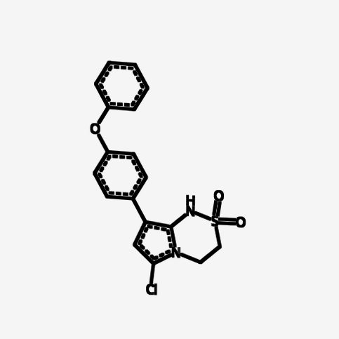 O=S1(=O)CCn2c(Cl)cc(-c3ccc(Oc4ccccc4)cc3)c2N1